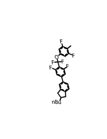 CCCCC1Cc2ccc(-c3cc(F)c(C(F)(F)Oc4cc(F)c(C)c(F)c4)c(F)c3)cc2C1